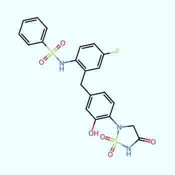 O=C1CN(c2ccc(Cc3cc(F)ccc3NS(=O)(=O)c3ccccc3)cc2O)S(=O)(=O)N1